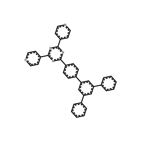 c1ccc(-c2cc(-c3ccccc3)cc(-c3ccc(-c4nc(-c5ccncc5)nc(-c5ccncc5)n4)cc3)c2)cc1